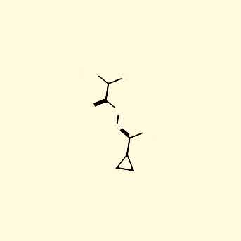 CC(=NOC(=O)C(C)Br)C1CC1